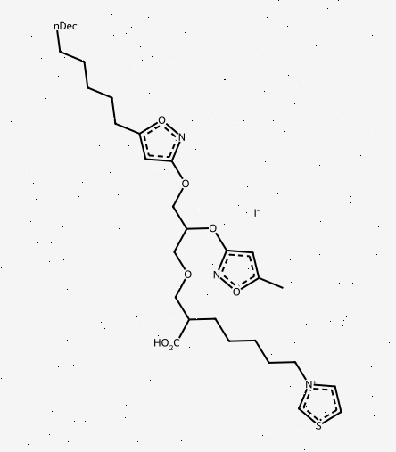 CCCCCCCCCCCCCCCc1cc(OCC(COCC(CCCCC[n+]2ccsc2)C(=O)O)Oc2cc(C)on2)no1.[I-]